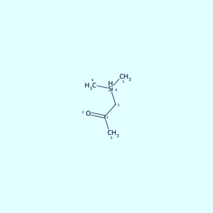 CC(=O)C[SiH](C)C